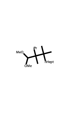 CCCCCCCC(C)(C)C(C)(C(C)C)C(OC)OC